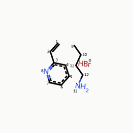 Br.C=Cc1ccccn1.CCCCN